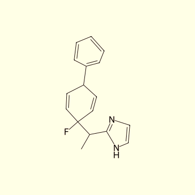 CC(c1ncc[nH]1)C1(F)C=CC(c2ccccc2)C=C1